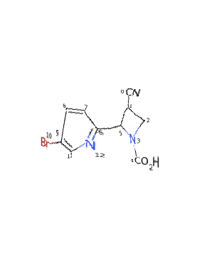 N#CC1CN(C(=O)O)C1c1ccc(Br)cn1